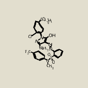 CN(c1ccc(C(F)(F)F)cc1)S(=O)(=O)c1ccccc1/N=N/c1c(N)nn(-c2cc(S(=O)(=O)O)ccc2Cl)c1O